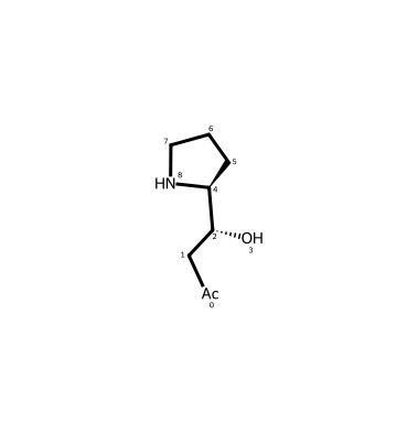 CC(=O)C[C@@H](O)[C@@H]1CCCN1